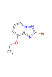 FC(F)(F)COc1cccn2nc(Br)nc12